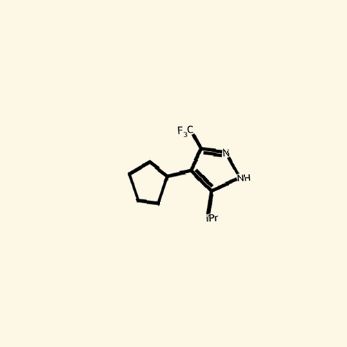 CC(C)c1[nH]nc(C(F)(F)F)c1C1CCCC1